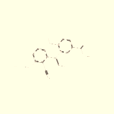 C/C=C(\c1cc(C(=O)OC)ccc1CC)c1cccc(OC)c1C#N